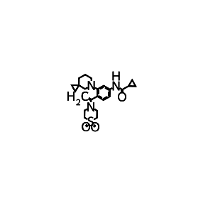 C=C(c1ccc(NC(=O)C2CC2)cc1N1CCCC2(CC2)C1)N1CCS(=O)(=O)CC1